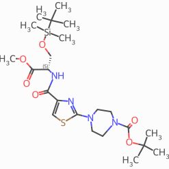 COC(=O)[C@H](CO[Si](C)(C)C(C)(C)C)NC(=O)c1csc(N2CCN(C(=O)OC(C)(C)C)CC2)n1